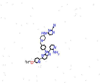 [2H]COc1ccc(-c2ccc3nc(-c4cccnc4N)n(-c4ccc(CN5CCC(Nc6ccnc(C#N)n6)CC5)cc4)c3n2)nc1